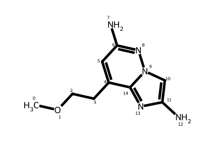 COCCc1cc(N)nn2cc(N)nc12